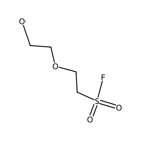 [O]CCOCCS(=O)(=O)F